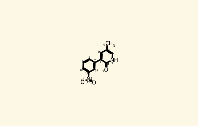 Cc1c[nH]c(=O)c(-c2cccc([N+](=O)[O-])c2)c1